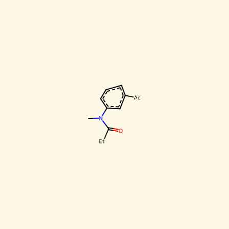 CCC(=O)N(C)c1cccc(C(C)=O)c1